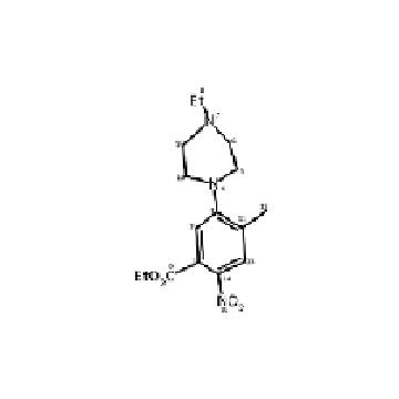 CCOC(=O)c1cc(N2CCN(CC)CC2)c(C)cc1[N+](=O)[O-]